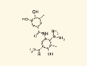 BBc1cc(NC(=O)c2cc(C)c(O)c(O)c2)c(B(B)B)c(C)c1O